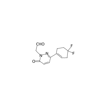 O=CCn1nc(C2=CCC(F)(F)CC2)ccc1=O